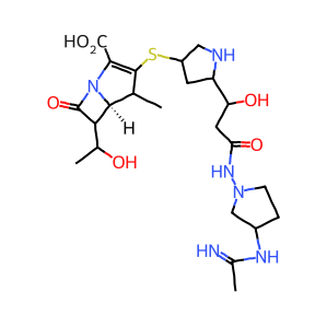 CC(=N)NC1CCN(NC(=O)CC(O)C2CC(SC3=C(C(=O)O)N4C(=O)C(C(C)O)[C@@H]4C3C)CN2)C1